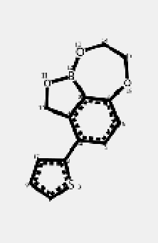 c1csc(-c2ccc3c4c2COB4OCCO3)c1